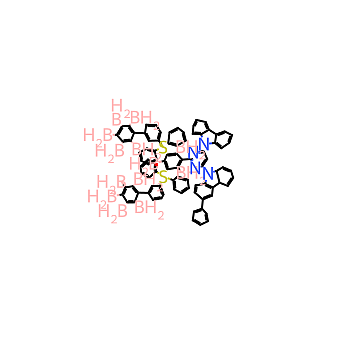 Bc1c(B)c(B)c(-c2cccc(S(c3ccccc3)(c3ccccc3)c3c(B)c(-c4nc(N5c6ccc(-c7ccccc7)cc6C6C=CC=CC65)cc(-n5c6ccccc6c6ccccc65)n4)c(B)c(S(c4ccccc4)(c4ccccc4)c4cccc(-c5c(B)c(B)c(B)c(B)c5B)c4)c3B)c2)c(B)c1B